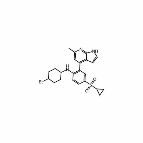 CCC1CCC(Nc2ccc(S(=O)(=O)C3CC3)cc2-c2cc(C)nc3[nH]ccc23)CC1